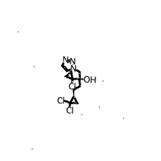 O[C@](CC[C@H]1CC1(Cl)Cl)(Cn1ccnn1)C1(Cl)CC1